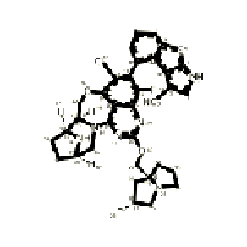 N#Cc1c[nH]c2sc3cccc(-c4c(Cl)c5c6c(nc(OC[C@@]78CCCN7C[C@H](F)C8)nc6c4F)N4C[C@H]6CC[C@H](N6)[C@H]4CO5)c3c12